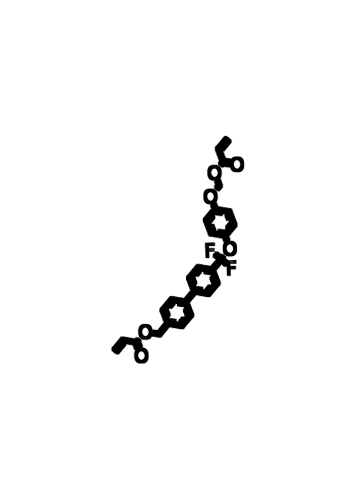 C=CC(=O)OCOc1ccc(OC(F)(F)c2ccc(-c3ccc(COC(=O)C=C)cc3)cc2)cc1